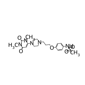 Cn1c(N2CCN(CCCOc3ccc(NS(C)(=O)=O)cc3)CC2)cc(=O)n(C)c1=O